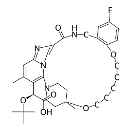 Cc1cc2nc3cn2c(c1[C@H](OC(C)(C)C)C(=O)O)N1CCC(C)(CC1)OCCCCCOc1ccc(F)cc1CNC3=O